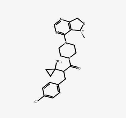 C[C@H]1SCc2ncnc(N3CCN(C(=O)C(Cc4ccc(Cl)cc4)C4(N)CC4)CC3)c21